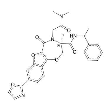 CC(NC(=O)[C@@]1(C)COc2c(oc3cc(-c4ncco4)ccc23)C(=O)N1CC(=O)N(C)C)c1ccccc1